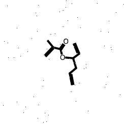 C=CCC(C=C)OC(=O)C(=C)C